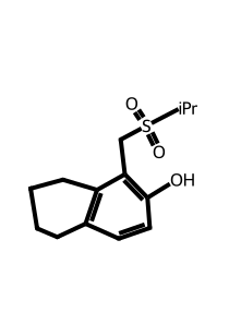 CC(C)S(=O)(=O)Cc1c(O)ccc2c1CCCC2